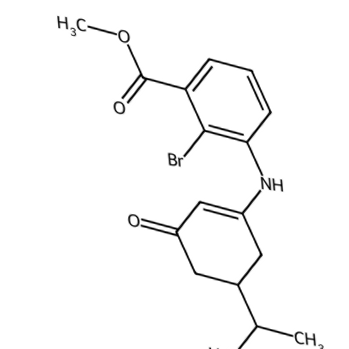 COC(=O)c1cccc(NC2=CC(=O)CC(C(C)C)C2)c1Br